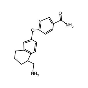 NCC1CCCc2cc(Oc3ccc(C(N)=O)cn3)ccc21